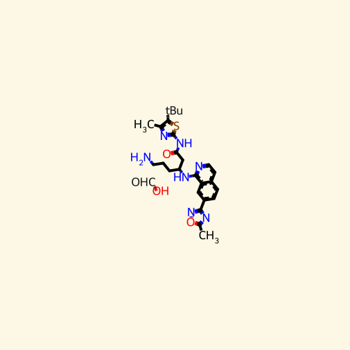 Cc1nc(-c2ccc3ccnc(NC(CCCN)CC(=O)Nc4nc(C)c(C(C)(C)C)s4)c3c2)no1.O=CO